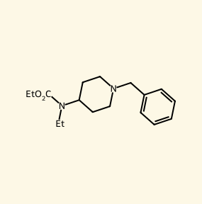 CCOC(=O)N(CC)C1CCN(Cc2ccccc2)CC1